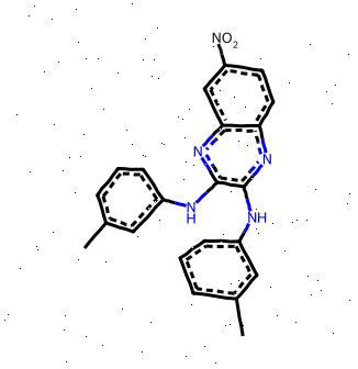 Cc1cccc(Nc2nc3ccc([N+](=O)[O-])cc3nc2Nc2cccc(C)c2)c1